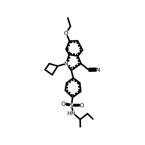 CCOc1ccc2c(C#N)c(-c3ccc(S(=O)(=O)NC(C)CC)cc3)n(C3CCC3)c2c1